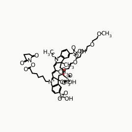 CCN1/C(=C/C(C)=C/C2=[N+](CCCCCC(=O)ON3C(=O)CCC3=O)c3ccc(S(=O)(=O)O)cc3C2(C)CCOCCOCCOCCOCCOC)C(C)(CCCS(=O)(=O)O)c2cc(S(=O)(=O)O)ccc21